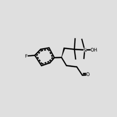 CC(C)(C[C@@H](CCC=O)c1ccc(F)cc1)[Si](C)(C)O